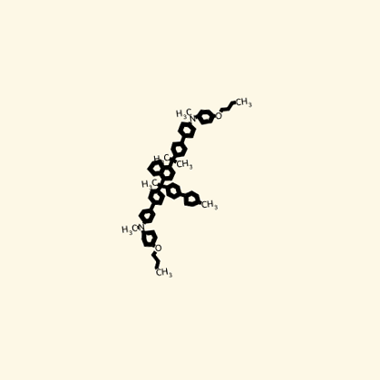 CCCCOc1ccc(N(C)c2ccc(-c3ccc(C(C)(C)c4ccc(C(C)(c5ccc(-c6ccc(C)cc6)cc5)c5ccc(-c6ccc(N(C)c7ccc(OCCCC)cc7)cc6)cc5)c5ccccc45)cc3)cc2)cc1